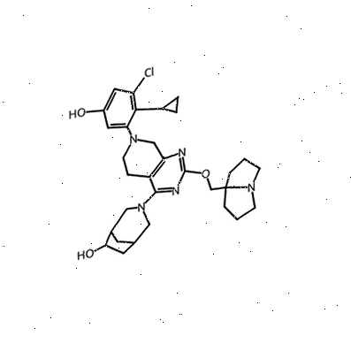 Oc1cc(Cl)c(C2CC2)c(N2CCc3c(nc(OCC45CCCN4CCC5)nc3N3CC4CC(O)C(C4)C3)C2)c1